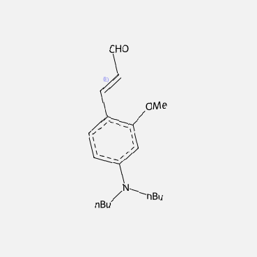 CCCCN(CCCC)c1ccc(/C=C/C=O)c(OC)c1